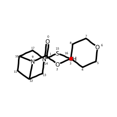 O=C(OC1CCOCC1)N1C2CC1CN(SS)C2